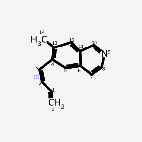 C=C/C=C\c1cc2ccncc2cc1C